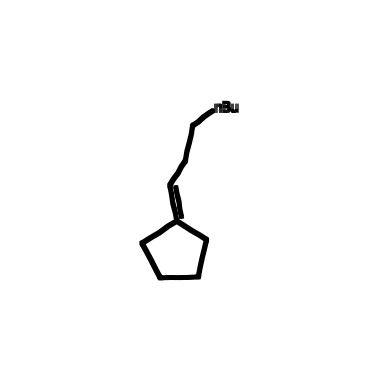 CCCCCCC=C1CCCC1